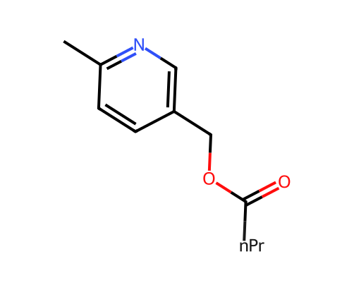 CCCC(=O)OCc1ccc(C)nc1